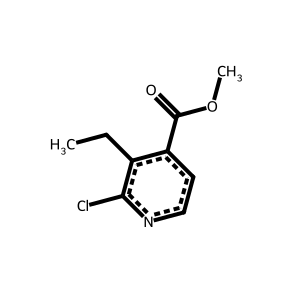 CCc1c(C(=O)OC)ccnc1Cl